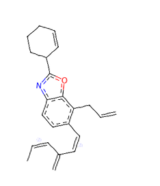 C=CCc1c(/C=C\C(=C)/C=C\C)ccc2nc(C3C=CCCC3)oc12